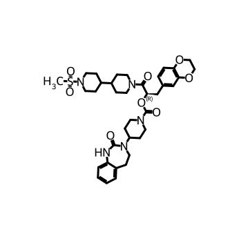 CS(=O)(=O)N1CCC(C2CCN(C(=O)[C@@H](Cc3ccc4c(c3)OCCO4)OC(=O)N3CCC(N4CCc5ccccc5NC4=O)CC3)CC2)CC1